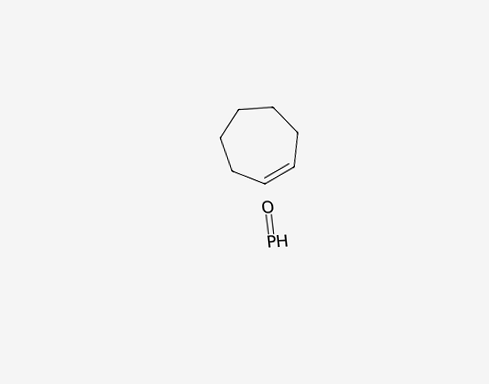 C1=CCCCCC1.O=P